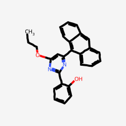 CCCOc1cc(-c2c3ccccc3cc3ccccc23)nc(-c2ccccc2O)n1